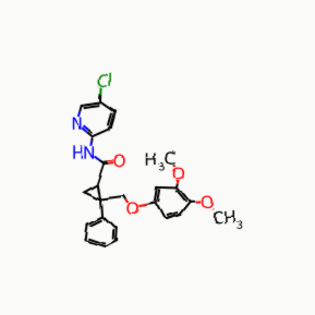 COc1ccc(OCC2(c3ccccc3)CC2C(=O)Nc2ccc(Cl)cn2)cc1OC